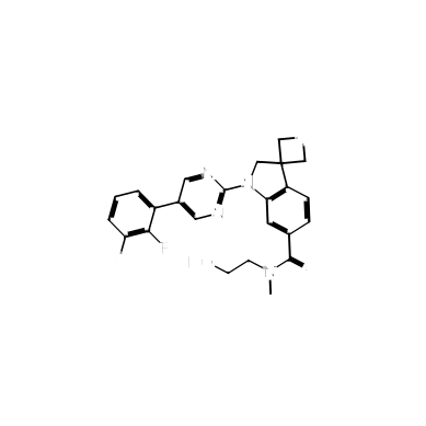 CN(CCO)C(=O)c1ccc2c(c1)N(c1ncc(-c3cccc(F)c3F)cn1)CC21COC1